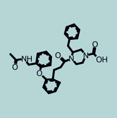 CC(=O)NCc1ccccc1Oc1ccccc1CCC(=O)N1CCN(C(=O)O)CC1Cc1ccccc1